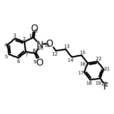 O=C1c2ccccc2C(=O)N1OCCCCc1ccc(F)cc1